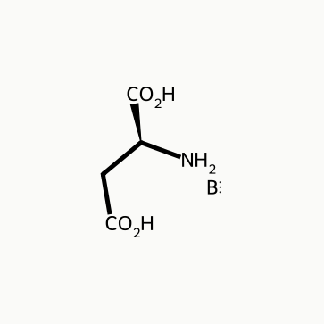 N[C@@H](CC(=O)O)C(=O)O.[B]